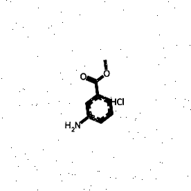 COC(=O)c1cccc(N)c1.Cl